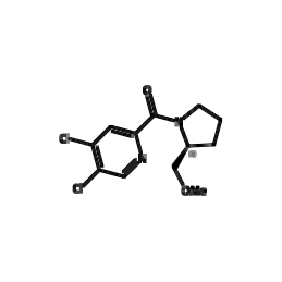 COC[C@@H]1CCCN1C(=O)c1cc(Cl)c(Cl)cn1